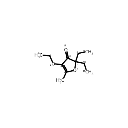 CCOC1=C(C)OC(CC)(CC)C1=O